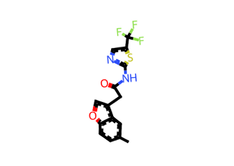 Cc1ccc2occ(CC(=O)Nc3ncc(C(F)(F)F)s3)c2c1